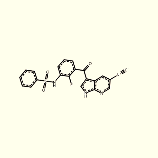 [C-]#[N+]c1cnc2[nH]cc(C(=O)c3cccc(NS(=O)(=O)c4ccccc4)c3F)c2c1